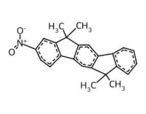 CC1(C)c2ccccc2-c2cc3c(cc21)-c1ccc([N+](=O)[O-])cc1C3(C)C